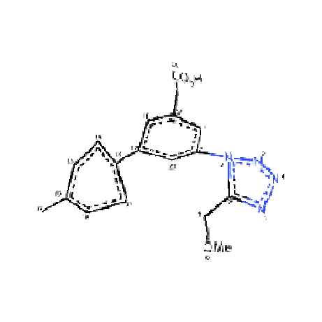 COCc1nnnn1-c1cc(C(=O)O)cc(-c2ccc(C)cc2)c1